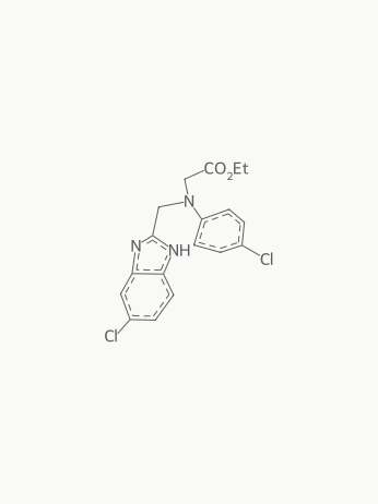 CCOC(=O)CN(Cc1nc2cc(Cl)ccc2[nH]1)c1ccc(Cl)cc1